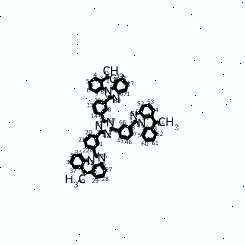 CC(C)c1ccccc1-n1c(-c2cccc(-c3nc(-c4cccc(-c5nc6cccc7c6n5-c5ccccc5C7C)c4)nc(-c4cccc(-c5nc6cccc7c6n5-c5ccccc5C7C)c4)n3)c2)nc2ccccc21